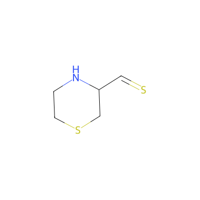 S=CC1CSCCN1